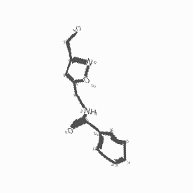 O=C(NCc1cc(CCl)no1)c1ccccc1